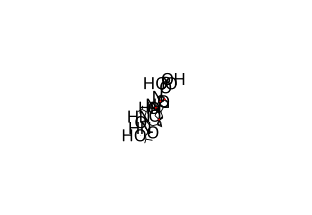 CC(C)C1NC(=O)[C@@H](NC(=O)[C@@H](O)C(C)C)Cc2ccc3c(c2)C2(c4ccccc4NC2O3)c2oc1nc2-c1nc(COP(=O)(O)O)co1